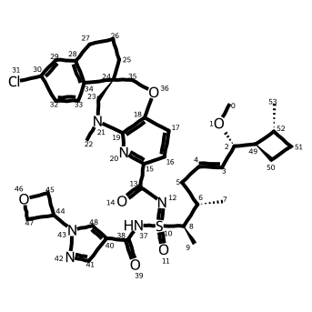 CO[C@@H](/C=C/C[C@H](C)[C@@H](C)S(=O)(=NC(=O)c1ccc2c(n1)N(C)C[C@@]1(CCCc3cc(Cl)ccc31)CO2)NC(=O)c1cnn(C2COC2)c1)[C@@H]1CC[C@H]1C